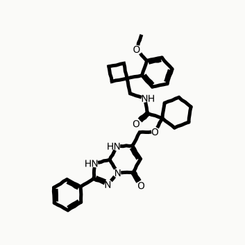 COc1ccccc1C1(CNC(=O)C2(OCC3=CC(=O)N4N=C(c5ccccc5)NC4N3)CCCCC2)CCC1